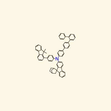 CC1(C)c2ccccc2-c2cccc(-c3ccc(N(c4ccc(-c5ccc(-c6ccccc6-c6ccccc6)cc5)cc4)c4ccc5c(c4)C4(CC6CCC4C6)c4ccccc4-5)cc3)c21